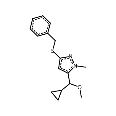 COC(c1cc(SCc2ccccc2)nn1C)C1CC1